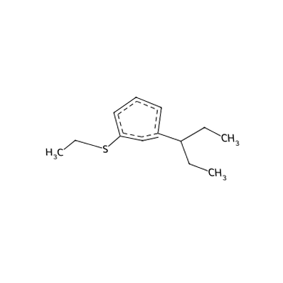 CCSc1cccc(C(CC)CC)c1